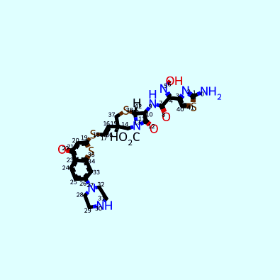 Nc1nc(C(=NO)C(=O)NC2C(=O)N3CC(C=CSc4cc(=O)c5ccc(N6CCNCC6)cc5s4)(C(=O)O)CS[C@H]23)cs1